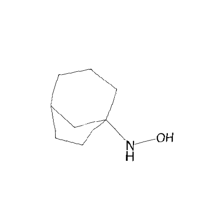 ONC12CCCC(CC1)C2